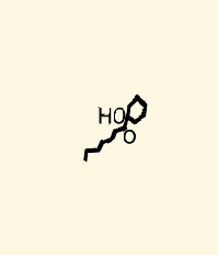 CCCCCCC(=O)C1(O)CCCCC1